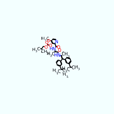 COc1ccnc(C(=O)N[C@@H](C)C(=O)NC(C)=C(c2cccc(C(C)C)c2)c2cccc(C(C)C)c2)c1OC(=O)OCC(C)C